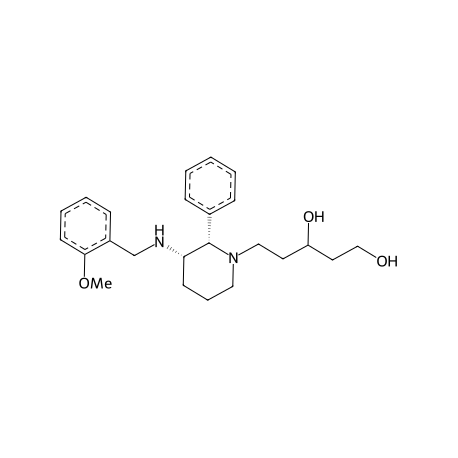 COc1ccccc1CN[C@H]1CCCN(CCC(O)CCO)[C@H]1c1ccccc1